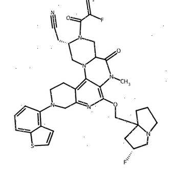 C=C(F)C(=O)N1CC2C(=O)N(C)c3c(OCC45CCCN4C[C@H](F)C5)nc4c(c3N2C[C@@H]1CC#N)CCN(c1cccc2sccc12)C4